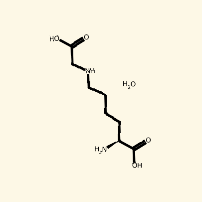 N[C@@H](CCCCNCC(=O)O)C(=O)O.O